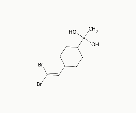 CC(O)(O)C1CCC(C=C(Br)Br)CC1